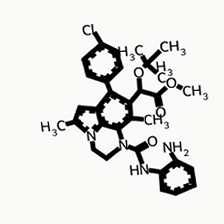 COC(=O)C(OC(C)(C)C)c1c(C)c2c3c(cc(C)n3CCN2C(=O)Nc2ccccc2N)c1-c1ccc(Cl)cc1